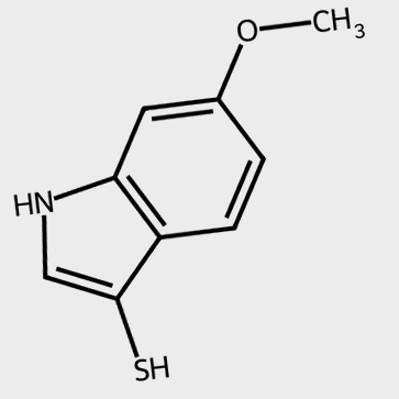 COc1ccc2c(S)c[nH]c2c1